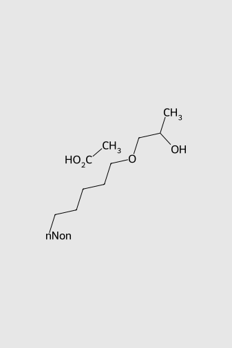 CC(=O)O.CCCCCCCCCCCCCCOCC(C)O